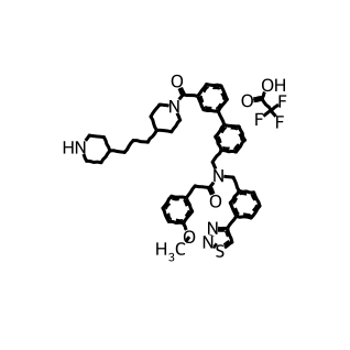 COc1cccc(CC(=O)N(Cc2cccc(-c3cccc(C(=O)N4CCC(CCCC5CCNCC5)CC4)c3)c2)Cc2cccc(-c3csnn3)c2)c1.O=C(O)C(F)(F)F